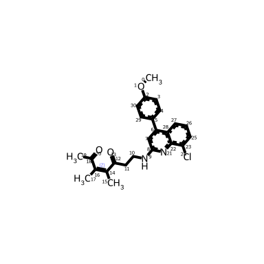 COc1ccc(-c2cc(NCCC(=O)/C(C)=C(/C)C(C)=O)nc3c(Cl)cccc23)cc1